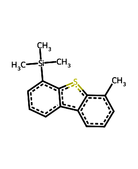 Cc1cccc2c1sc1c([Si](C)(C)C)cccc12